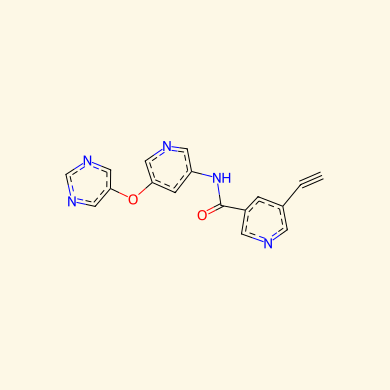 C#Cc1cncc(C(=O)Nc2cncc(Oc3cncnc3)c2)c1